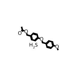 COc1ccc(COc2ccc(COC(C)=O)cc2)cc1.S